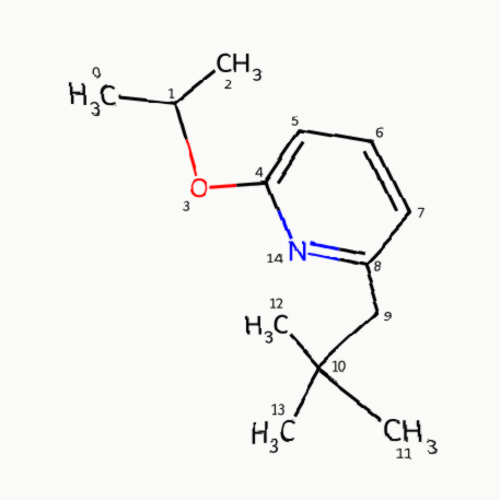 CC(C)Oc1cccc(CC(C)(C)C)n1